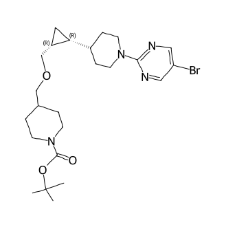 CC(C)(C)OC(=O)N1CCC(COC[C@@H]2C[C@@H]2C2CCN(c3ncc(Br)cn3)CC2)CC1